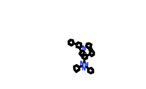 c1ccc(-c2ccc3c(c2)c2ccccc2n3-c2cccc3c2-c2c(-c4cccc(-c5nc(-c6ccccc6)nc(-c6ccccc6)n5)c4)cccc2-3)cc1